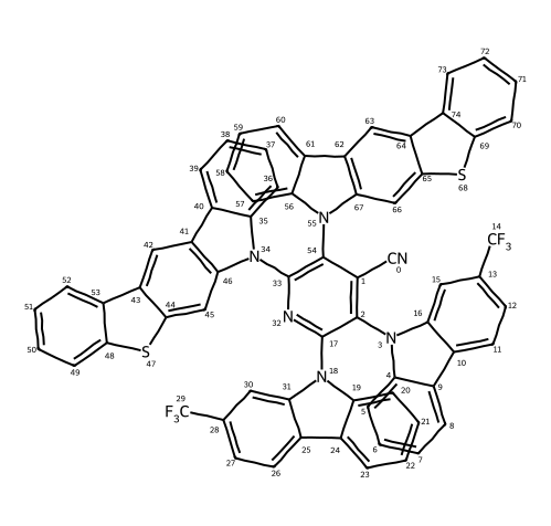 N#Cc1c(-n2c3ccccc3c3ccc(C(F)(F)F)cc32)c(-n2c3ccccc3c3ccc(C(F)(F)F)cc32)nc(-n2c3ccccc3c3cc4c(cc32)sc2ccccc24)c1-n1c2ccccc2c2cc3c(cc21)sc1ccccc13